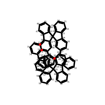 c1ccc(-c2ccccc2N(c2ccc3c(c2)C2(c4ccccc4-c4ccc(N(c5ccccc5)c5ccccc5)cc42)c2ccccc2-3)c2cccc3c2C(c2ccccc2)(c2ccccc2)c2ccccc2-3)cc1